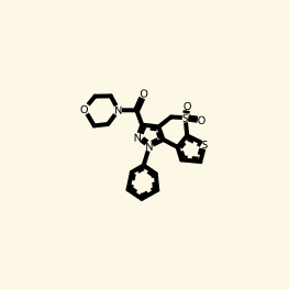 O=C(c1nn(-c2ccccc2)c2c1CS(=O)(=O)c1sccc1-2)N1CCOCC1